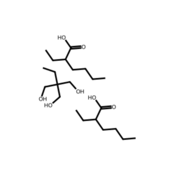 CCC(CO)(CO)CO.CCCCC(CC)C(=O)O.CCCCC(CC)C(=O)O